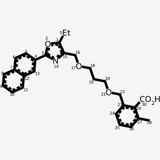 CCc1oc(-c2ccc3ccccc3c2)nc1COCCCOCc1cccc(C)c1C(=O)O